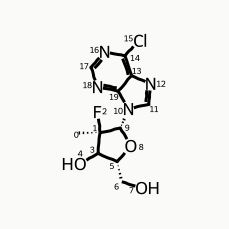 C[C@@]1(F)C(O)[C@@H](CO)O[C@H]1n1cnc2c(Cl)ncnc21